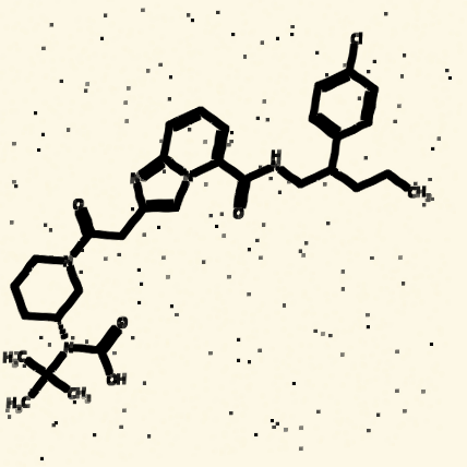 CCCC(CNC(=O)c1cccc2nc(CC(=O)N3CCC[C@@H](N(C(=O)O)C(C)(C)C)C3)cn12)c1ccc(Cl)cc1